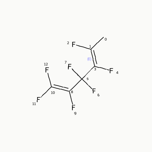 C/C(F)=C(\F)C(F)(F)C(F)=C(F)F